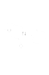 C#CCN(C(=O)C(C)OC)c1ccccc1C